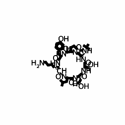 CC(C)CC1NC(=O)C[C@H](CCCCN)NC(=O)C(Cc2ccc(O)cc2)NC(=O)[C@@H]2CCCN2[C@H](C(=O)NC(C)(C)C)[C@@H](C)NC(=O)[C@H]([C@@H](C)O)NC(=O)[C@@H](CC(=O)O)NC1=O